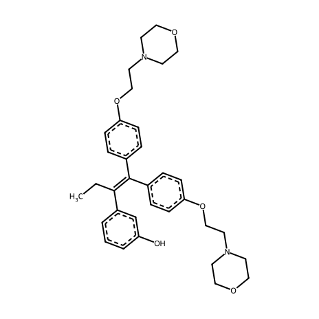 CCC(=C(c1ccc(OCCN2CCOCC2)cc1)c1ccc(OCCN2CCOCC2)cc1)c1cccc(O)c1